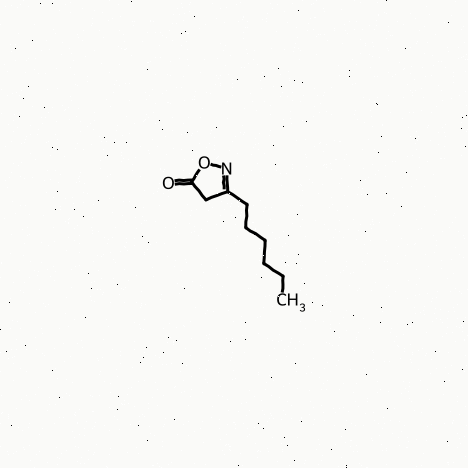 CCCCCCC1=NOC(=O)C1